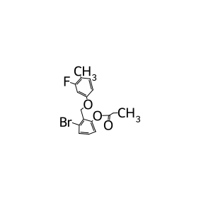 CCC(=O)Oc1cccc(Br)c1COc1ccc(C)c(F)c1